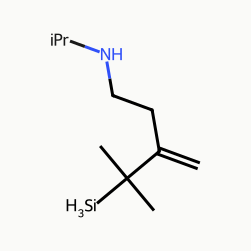 C=C(CCNC(C)C)C(C)(C)[SiH3]